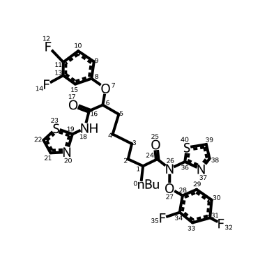 CCCCC(CCCCC(Oc1ccc(F)c(F)c1)C(=O)Nc1nccs1)C(=O)N(Oc1ccc(F)cc1F)c1nccs1